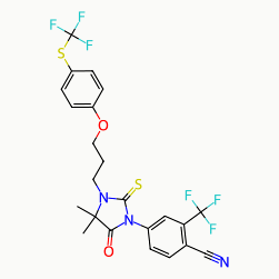 CC1(C)C(=O)N(c2ccc(C#N)c(C(F)(F)F)c2)C(=S)N1CCCOc1ccc(SC(F)(F)F)cc1